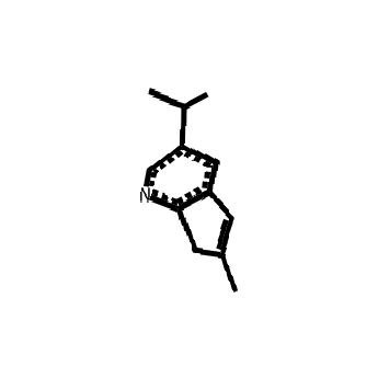 CC1=Cc2cc(C(C)C)cnc2C1